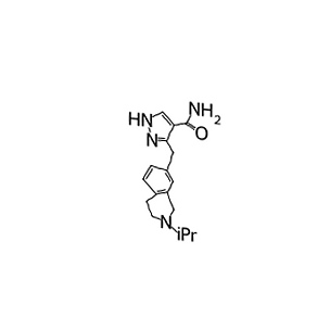 CC(C)N1CCc2ccc(Cc3n[nH]cc3C(N)=O)cc2C1